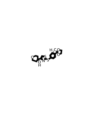 CC1(c2ccc(Sc3nc(C4(O)CCOCC4)cs3)cc2)OCCO1